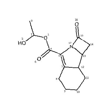 CC(O)OC(=O)C1=C2CCCCC2C2CC(=O)N12